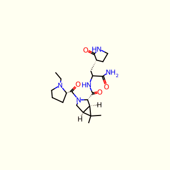 CCN1CCC[C@H]1C(=O)N1C[C@H]2[C@@H]([C@H]1C(=O)NC(C[C@H]1CCNC1=O)C(N)=O)C2(C)C